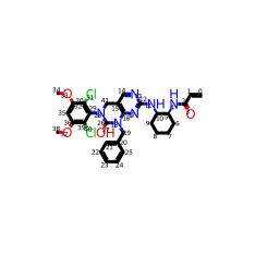 C=CC(=O)N[C@H]1CCCC[C@H]1Nc1ncc2c(n1)N(Cc1ccccc1)C(O)N(c1c(Cl)c(OC)cc(OC)c1Cl)C2